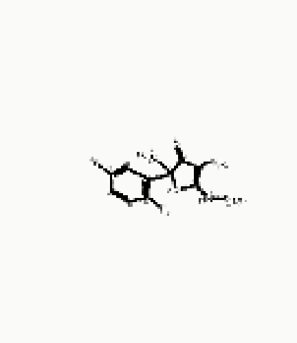 CCOC(=O)NC1=C(OC(C)=O)C(=O)C(C)(c2cc(F)ccc2F)O1